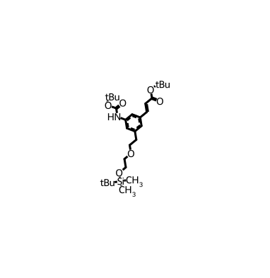 CC(C)(C)OC(=O)/C=C/c1cc(CCOCCO[Si](C)(C)C(C)(C)C)cc(NC(=O)OC(C)(C)C)c1